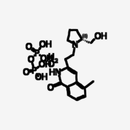 Cc1cccc2c(=O)[nH]c(CCN3CCC[C@@H]3CO)cc12.O.O=P(O)(O)OP(=O)(O)O